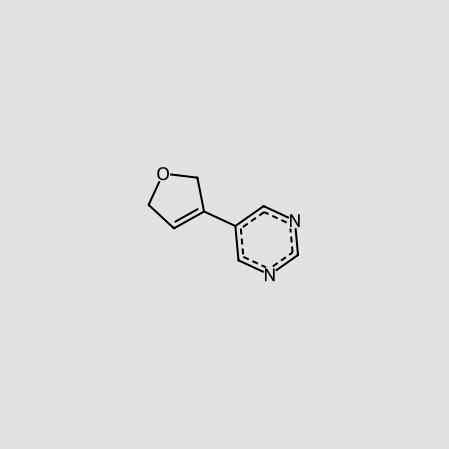 C1=C(c2cncnc2)COC1